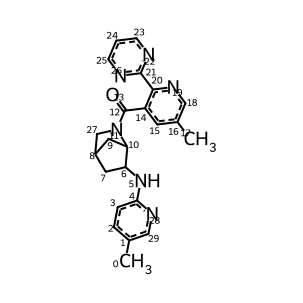 Cc1ccc(NC2CC3CC2N(C(=O)c2cc(C)cnc2-c2ncccn2)C3)nc1